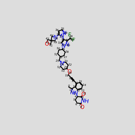 Cc1nn(C2CCC(=O)NC2=O)c2cccc(C#CCOC3CCN(CC4CCC(n5cc(-n6nccc6N6CC7(COC7)C6)c(C(F)F)n5)CC4)CC3)c12